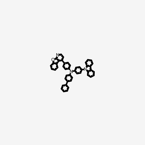 c1ccc(-c2ccc(N(c3ccc(-c4ccnc5oc6ccccc6c45)cc3)c3ccc(-n4c5ccccc5c5ccccc54)cc3)cc2)cc1